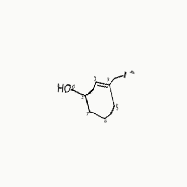 OC1C=C(I)CCC1